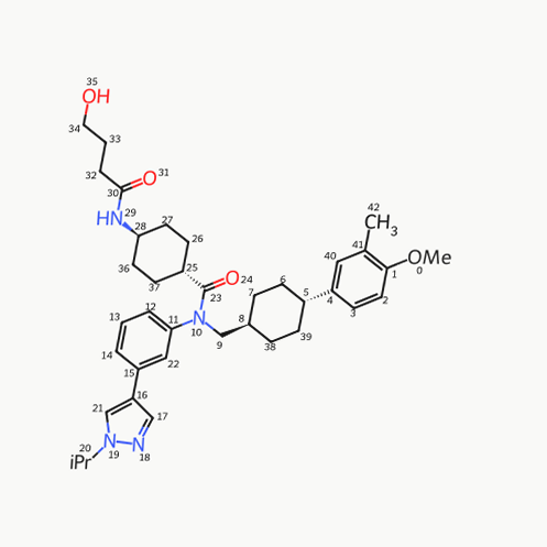 COc1ccc([C@H]2CC[C@H](CN(c3cccc(-c4cnn(C(C)C)c4)c3)C(=O)[C@H]3CC[C@H](NC(=O)CCCO)CC3)CC2)cc1C